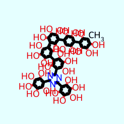 Cc1c(O)c(O)c(O)c(-c2c(O)c(O)c(-c3c(O)c(O)c(O)c4c3oc3c(-c5c(O)c(O)c(O)c(-c6nc(-c7c(O)c(O)c(O)c(O)c7O)nc(-c7c(O)c(O)c(O)c(O)c7O)n6)c5O)c(O)c(O)c(O)c34)c(O)c2O)c1O